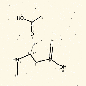 CC(=O)O.CN[C@H](C)CC(=O)O